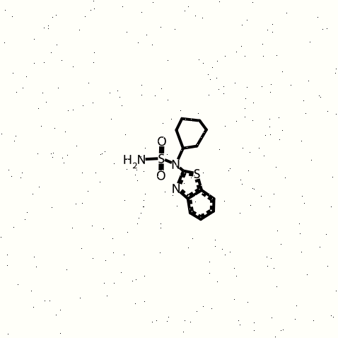 NS(=O)(=O)N(c1nc2ccccc2s1)C1CCCCC1